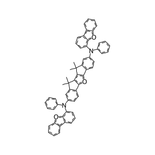 CC1(C)c2cc(N(c3ccccc3)c3cccc4c3oc3ccccc34)ccc2-c2oc3c(c21)C(C)(C)c1cc(N(c2ccccc2)c2cccc4c2oc2ccccc24)ccc1-3